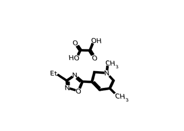 CCc1noc(C2=CC(C)CN(C)C2)n1.O=C(O)C(=O)O